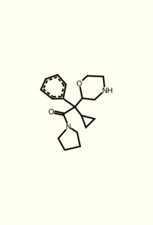 O=C(N1CCCC1)C(c1ccccc1)(C1CC1)C1CNCCO1